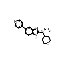 N[C@@H](c1nc2cc(-c3ccncc3)ccc2[nH]1)C1CCOCC1